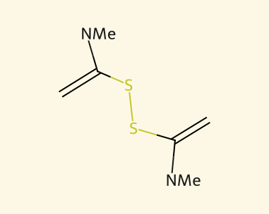 C=C(NC)SSC(=C)NC